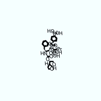 CC(C)CN(C[C@@H](OP(=O)(O)O)[C@H](Cc1ccccc1)NC(=O)O[C@H]1CO[C@H]2OCC[C@H]21)S(=O)(=O)c1ccc(B(O)O)cc1